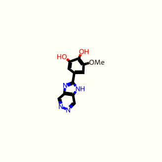 COc1cc(-c2nc3cnncc3[nH]2)cc(O)c1O